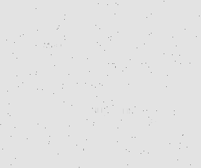 COc1ccc(CNC(C)C)c(N)c1